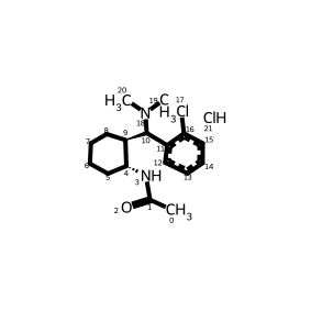 CC(=O)N[C@@H]1CCCC[C@H]1C(c1ccccc1Cl)N(C)C.Cl